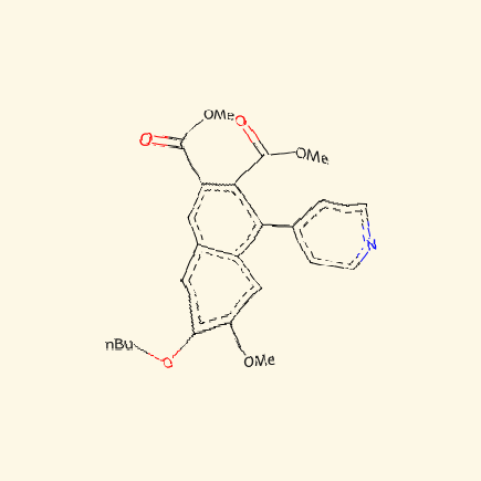 CCCCOc1cc2cc(C(=O)OC)c(C(=O)OC)c(-c3ccncc3)c2cc1OC